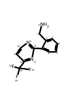 NCc1ccccc1-c1nccc(C(F)(F)F)n1